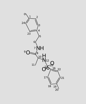 Cc1ccc(CCNC(=O)C(C)NS(=O)(=O)c2ccc(C)cc2)cc1